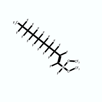 FC(=C(F)[Si](F)(OC(F)(F)F)OC(F)(F)F)C(F)(F)C(F)(F)C(F)(F)C(F)(F)C(F)(F)C(F)(F)C(F)(F)C(F)(F)F